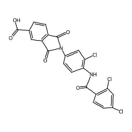 O=C(O)c1ccc2c(c1)C(=O)N(c1ccc(NC(=O)c3ccc(Cl)cc3Cl)c(Cl)c1)C2=O